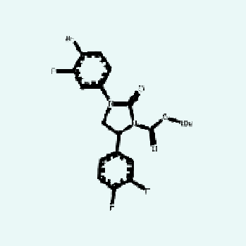 CC(C)(C)OC(=O)N1C(=O)N(c2ccc(Br)c(F)c2)CC1c1ccc(F)c(F)c1